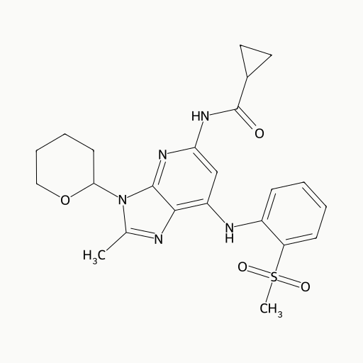 Cc1nc2c(Nc3ccccc3S(C)(=O)=O)cc(NC(=O)C3CC3)nc2n1C1CCCCO1